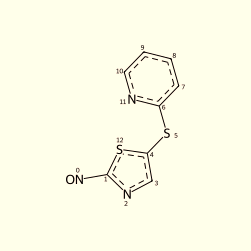 O=Nc1ncc(Sc2ccccn2)s1